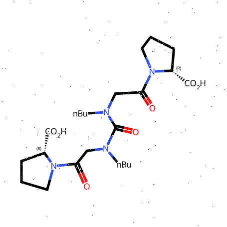 CCCCN(CC(=O)N1CCC[C@@H]1C(=O)O)C(=O)N(CCCC)CC(=O)N1CCC[C@@H]1C(=O)O